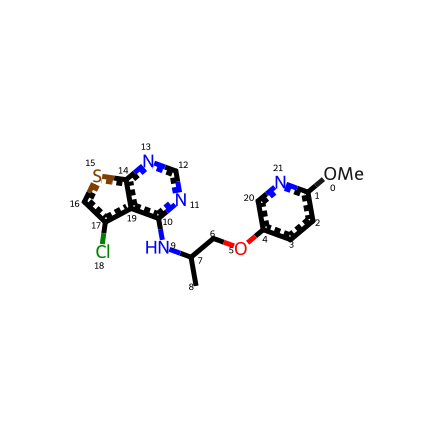 COc1ccc(OCC(C)Nc2ncnc3scc(Cl)c23)cn1